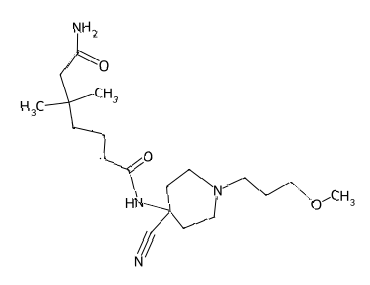 COCCCN1CCC(C#N)(NC(=O)[CH]CCC(C)(C)CC(N)=O)CC1